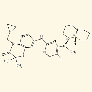 CN(c1nc(Nc2cnc3c(c2)OC(C)(C)C(=O)N3CC2CC2)ncc1F)[C@H]1CCCN2CCCC[C@H]12